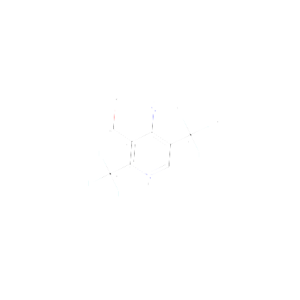 Nc1c(C(F)(F)F)cnc(C(F)(F)F)c1CO